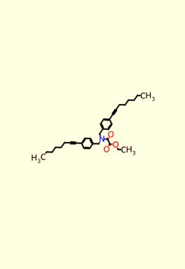 CCCCCCC#Cc1ccc(CN(Cc2ccc(C#CCCCCCC)cc2)C(=O)C(=O)OCC)cc1